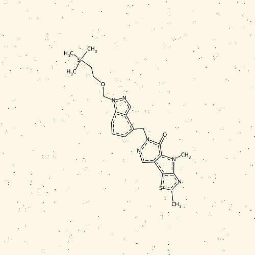 Cc1nc2c(s1)c1cnn(Cc3cccc4c3cnn4COCC[Si](C)(C)C)c(=O)c1n2C